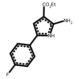 CCOC(=O)c1cc(-c2ccc(F)cc2)[nH]c1N